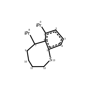 CC(C)c1cccc2c1C(C(C)C)CCCCS2